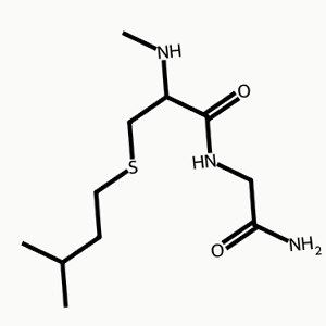 CNC(CSCCC(C)C)C(=O)NCC(N)=O